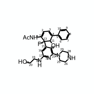 CC(=O)NC1=CC=C(c2ccccc2)C(O)C1(F)c1cc(NCCO)nc(N2CCNCC2)c1